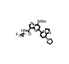 CNc1cc(-c2ccc(N3CCCC3)c3nccn23)nc2c(C(=O)N[C@@H]3C[C@@H]3F)cnn12